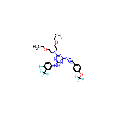 CCOCCN(CCOCC)c1nc(N/N=C/c2ccc(OC(F)(F)F)cc2)nc(Nc2ccc(F)c(C(F)(F)F)c2)n1